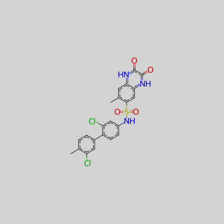 Cc1ccc(-c2ccc(NS(=O)(=O)c3cc4[nH]c(=O)c(=O)[nH]c4cc3C)cc2Cl)cc1Cl